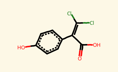 O=C(O)C(=C(Cl)Cl)c1ccc(O)cc1